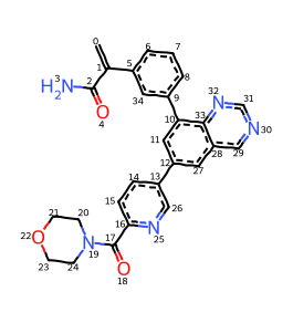 C=C(C(N)=O)c1cccc(-c2cc(-c3ccc(C(=O)N4CCOCC4)nc3)cc3cncnc23)c1